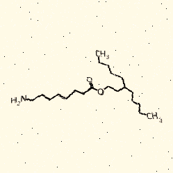 CCCCCC(CCCCC)CCOC(=O)CCCCCCCN